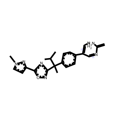 C=C(N)/N=C\C(=C/N)c1ccc(C(C)(c2noc(-c3ccn(C)n3)n2)C(C)C)cc1